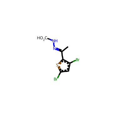 CC(=NNC(=O)O)c1sc(Br)cc1Br